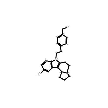 Cc1cnc2c(c1)c1c(n2CCc2ccc(CF)cc2)CCN2CCCC12